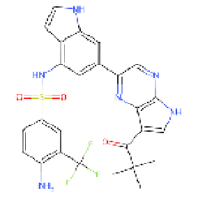 CC(C)(C)C(=O)c1c[nH]c2ncc(-c3cc(NS(=O)(=O)c4ccc(N)c(C(F)(F)F)c4)c4cc[nH]c4c3)nc12